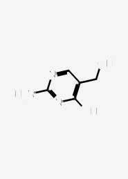 Cc1nc(N)ncc1CO